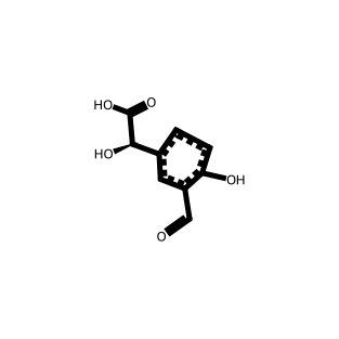 O=Cc1cc([C@@H](O)C(=O)O)ccc1O